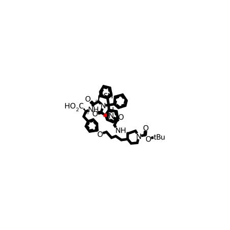 CC(C)(C)OC(=O)N1CCC(CCCCOc2ccc(C[C@H](NC(=O)[C@@H](CS)N(C(=O)CNC(=O)CN)C(c3ccccc3)(c3ccccc3)c3ccccc3)C(=O)O)cc2)CC1